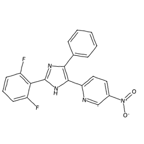 O=[N+]([O-])c1[c]nc(-c2[nH]c(-c3c(F)cccc3F)nc2-c2ccccc2)cc1